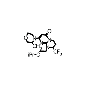 CC(C)OCCN1c2nc(N3CCOCC3C)cc(=O)n2CCC1C(F)(F)F